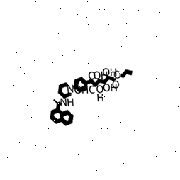 C=CCOC(=O)[C@@H](O)[C@@H](O)[C@H](O)[C@@](O)(C=O)C(=O)c1ccc(N2CCC[C@H](N[C@H](C)c3cccc4ccccc34)C2)cc1